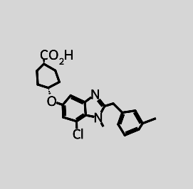 Cc1cccc(Cc2nc3cc(O[C@H]4CC[C@@H](C(=O)O)CC4)cc(Cl)c3n2C)c1